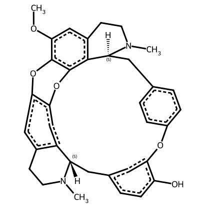 COc1cc2c3c4c1Oc1cc5c(cc1O4)[C@H](Cc1ccc(O)c(c1)Oc1ccc(cc1)C[C@@H]3N(C)CC2)N(C)CC5